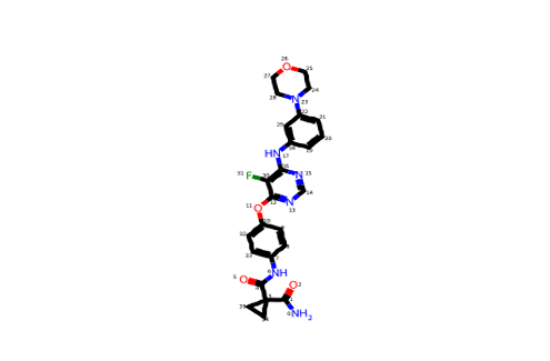 NC(=O)C1(C(=O)Nc2ccc(Oc3ncnc(Nc4cccc(N5CCOCC5)c4)c3F)cc2)CC1